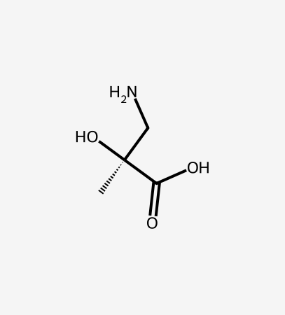 C[C@](O)(CN)C(=O)O